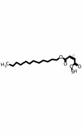 CCCCCCCCCCCCOC(=O)/C=C\C(=O)OS